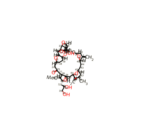 C=C1C[C@@H]2CC[C@@]3(O)C[C@H]4OC5C6[C@@H](O3)[C@H]3O[C@H](CC[C@@H]3O[C@H]6[C@@H]54)CC(=O)C[C@@H]3[C@@H](OC)[C@@H](C[C@H](O)CO)O[C@H]3C[C@H]3O[C@@H](CC[C@@H]1O2)C[C@@H](C)C3=C